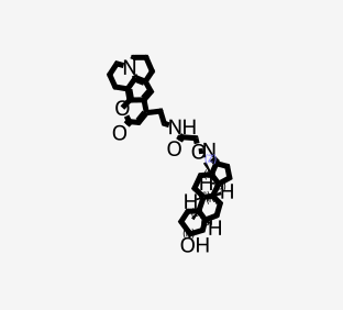 C[C@]12CC[C@@H](O)C[C@@H]1CC[C@@H]1[C@@H]2CC[C@]2(C)/C(=N\OCC(=O)NCCc3cc(=O)oc4c5c6c(cc34)CCCN6CCC5)CC[C@@H]12